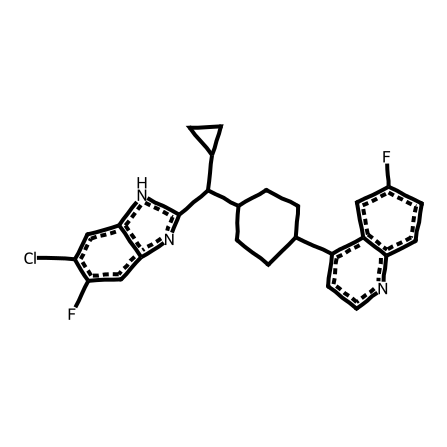 Fc1ccc2nccc(C3CCC(C(c4nc5cc(F)c(Cl)cc5[nH]4)C4CC4)CC3)c2c1